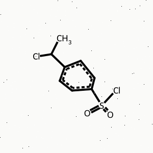 CC(Cl)c1ccc(S(=O)(=O)Cl)cc1